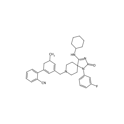 CC1C=C(CN2CCC3(CC2)C(NC2CCCCC2)=NC(=O)N3c2cccc(F)c2)C=C(c2ccccc2C#N)C1